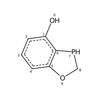 Oc1cccc2c1PCO2